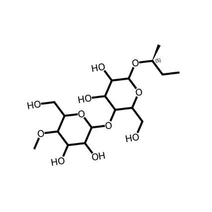 CC[C@H](C)OC1OC(CO)C(OC2OC(CO)C(OC)C(O)C2O)C(O)C1O